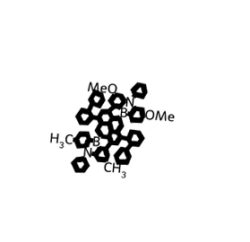 COc1ccc2c(c1)N(c1ccccc1)c1cc(OC)cc3c1B2c1cc2c(-c4ccccc4-c4ccccc4)cc4c5c(cc6c(-c7ccccc7-c7ccccc7)cc-3c1c6c25)B1c2ccc(C)cc2N(c2ccccc2)c2cc(C)cc-4c21